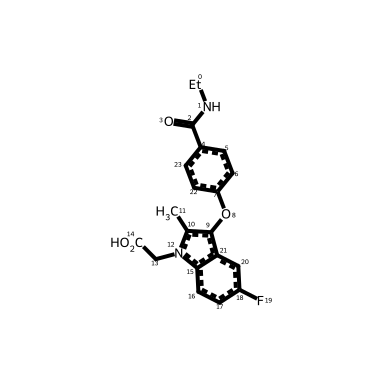 CCNC(=O)c1ccc(Oc2c(C)n(CC(=O)O)c3ccc(F)cc23)cc1